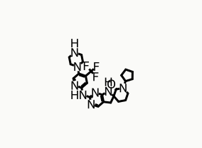 O=C1N(C2CCCC2)CCCC12Cc1cnc(Nc3cc(C(F)(F)F)c(N4CCNCC4)cn3)nc1N2